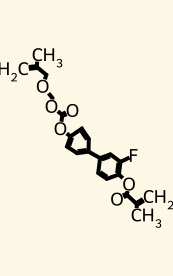 C=C(C)COCOC(=O)Oc1ccc(-c2ccc(OC(=O)C(=C)C)c(F)c2)cc1